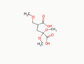 COCC(CC(OC)(OC)C(=O)O)C(=O)O